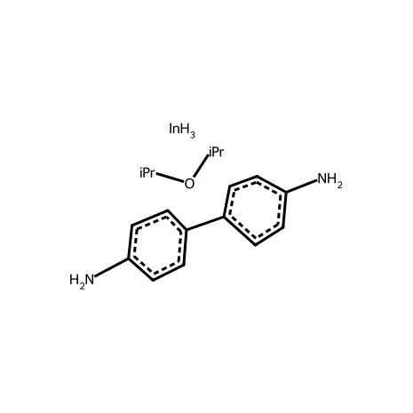 CC(C)OC(C)C.Nc1ccc(-c2ccc(N)cc2)cc1.[InH3]